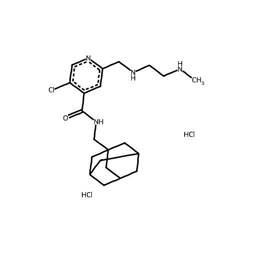 CNCCNCc1cc(C(=O)NCC23CC4CC(CC(C4)C2)C3)c(Cl)cn1.Cl.Cl